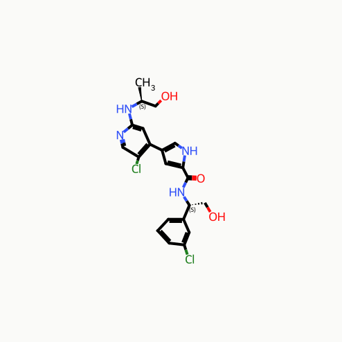 C[C@@H](CO)Nc1cc(-c2c[nH]c(C(=O)N[C@H](CO)c3cccc(Cl)c3)c2)c(Cl)cn1